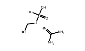 N=C(N)N.O=P(O)(O)OCO